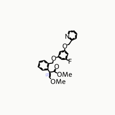 CO/C=C(\C(=O)OC)c1ccccc1COc1cc(F)cc(OCc2ccccn2)c1